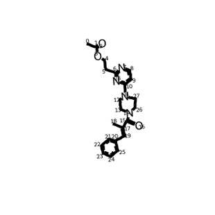 CC(=O)OCCc1nccc(N2CCN(C(=O)/C(C)=C/c3ccccc3)CC2)n1